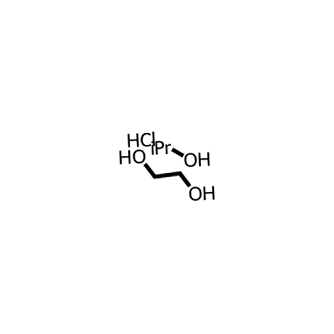 CC(C)O.Cl.OCCO